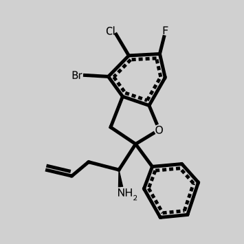 C=CC[C@H](N)C1(c2ccccc2)Cc2c(cc(F)c(Cl)c2Br)O1